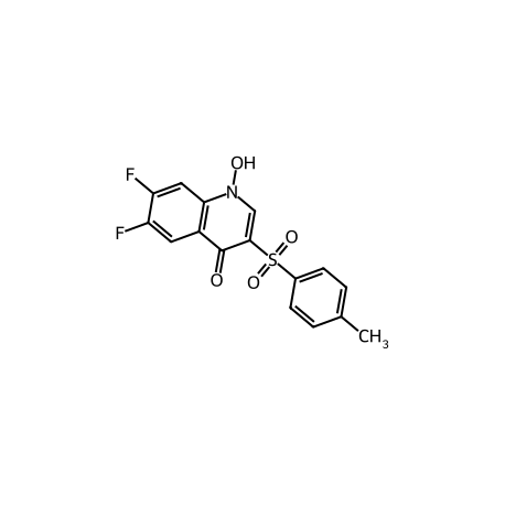 Cc1ccc(S(=O)(=O)c2cn(O)c3cc(F)c(F)cc3c2=O)cc1